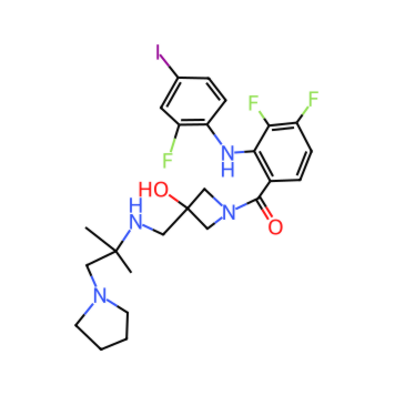 CC(C)(CN1CCCC1)NCC1(O)CN(C(=O)c2ccc(F)c(F)c2Nc2ccc(I)cc2F)C1